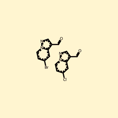 O=Cc1cnn2ccc(Br)cc12.O=Cc1cnn2ccc(Cl)cc12